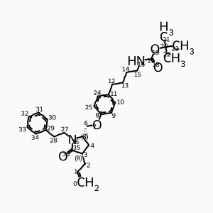 C=CC[C@@H]1C[C@@H](COc2ccc(CCCCNC(=O)OC(C)(C)C)cc2)N(CCc2ccccc2)C1=O